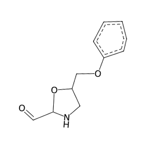 O=CC1NCC(COc2ccccc2)O1